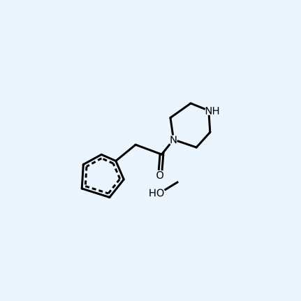 CO.O=C(Cc1ccccc1)N1CCNCC1